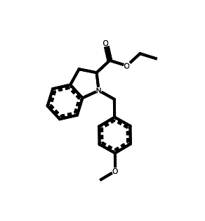 CCOC(=O)C1Cc2ccccc2N1Cc1ccc(OC)cc1